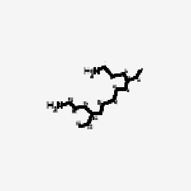 CCC(CCCN)CCCCCC(CC)CCCN